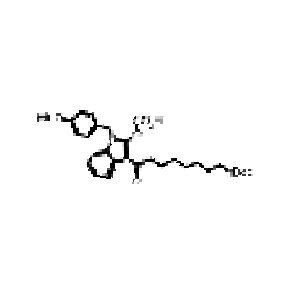 CCCCCCCCCCCCCCCCCC(=O)c1c(OC(=O)OCC)n(Cc2ccc(OC)cc2)c2ccccc12